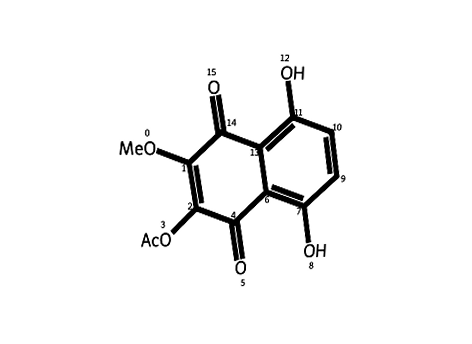 COC1=C(OC(C)=O)C(=O)c2c(O)ccc(O)c2C1=O